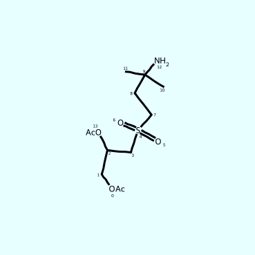 CC(=O)OCC(CS(=O)(=O)CCC(C)(C)N)OC(C)=O